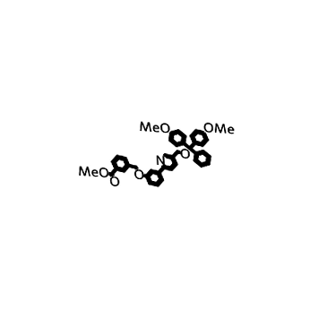 COC(=O)c1cccc(COc2cccc(-c3ccc(COC(c4ccccc4)(c4ccc(OC)cc4)c4ccc(OC)cc4)cn3)c2)c1